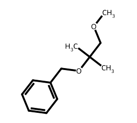 COCC(C)(C)OCc1ccccc1